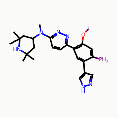 CN(c1ccc(-c2cc(-c3cn[nH]c3)c(P)cc2OI)nn1)C1CC(C)(C)NC(C)(C)C1